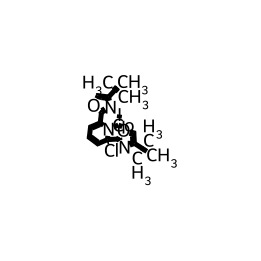 CC(C)(C)c1coc(C2=CC=C[C@](Cl)(c3nc(C(C)(C)C)co3)[N]2[Co]([I])[I])n1